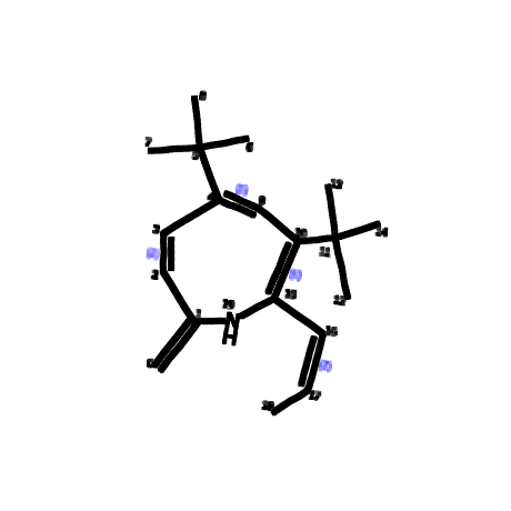 C=C1\C=C/C(C(C)(C)C)=C\C(C(C)(C)C)=C(\C=C/C)N1